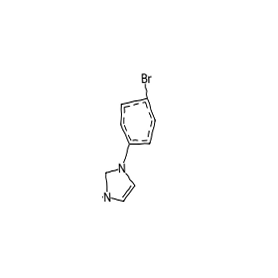 Brc1ccc(N2C=C[N]C2)cc1